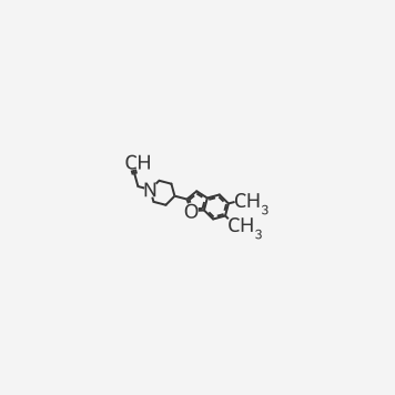 C#CCN1CCC(c2cc3cc(C)c(C)cc3o2)CC1